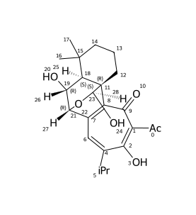 CC(=O)c1c(O)c(C(C)C)cc2c(c1=O)[C@@]13CCCC(C)(C)[C@@H]1[C@@H](O)[C@@H]2O[C@@H]3O